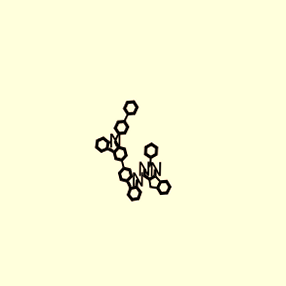 c1ccc(-c2ccc(-n3c4ccccc4c4cc(-c5ccc6c7ccccc7n(-c7nc(-c8ccccc8)nc8c7Cc7ccccc7-8)c6c5)ccc43)cc2)cc1